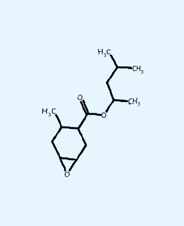 CC(C)CC(C)OC(=O)C1CC2OC2CC1C